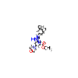 COC(=O)c1cc(N2CCOCC2)cc(NN=Cc2cccc(C)c2)n1